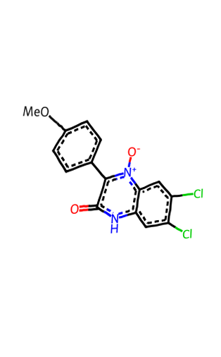 COc1ccc(-c2c(=O)[nH]c3cc(Cl)c(Cl)cc3[n+]2[O-])cc1